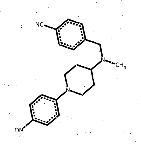 CN(Cc1ccc(C#N)cc1)C1CCN(c2ccc(N=O)cc2)CC1